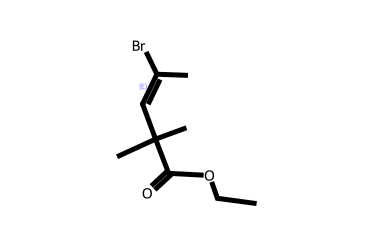 CCOC(=O)C(C)(C)/C=C(\C)Br